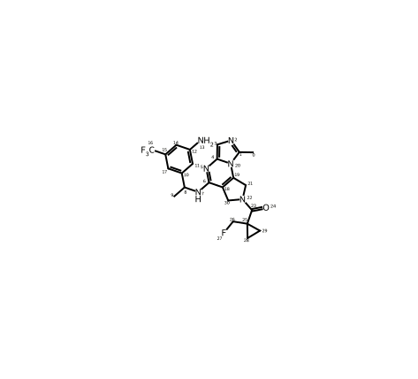 Cc1ncc2nc(NC(C)c3cc(N)cc(C(F)(F)F)c3)c3c(n12)CN(C(=O)C1(CF)CC1)C3